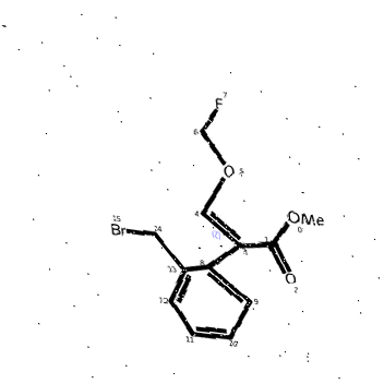 COC(=O)/C(=C\OCF)c1ccccc1CBr